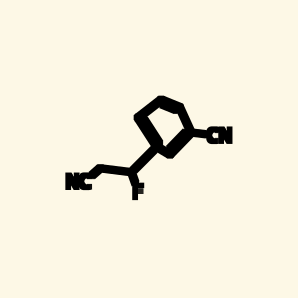 N#CCC(F)c1cccc(C#N)c1